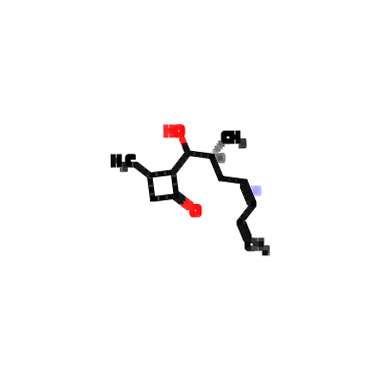 C=C/C=C\C[C@@H](C)C(O)C1C(=O)CC1C